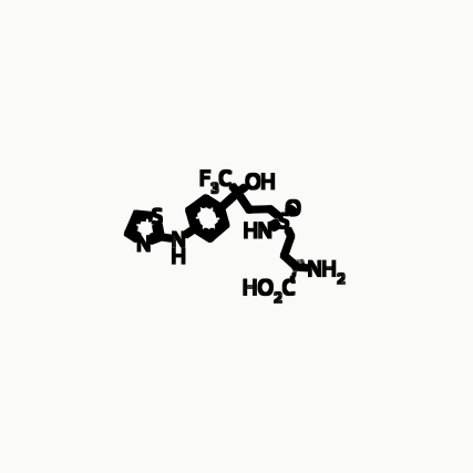 N=S(=O)(CC[C@H](N)C(=O)O)CCC(O)(c1ccc(Nc2nccs2)cc1)C(F)(F)F